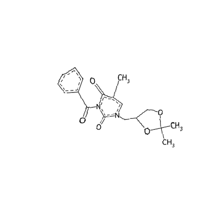 Cc1cn(CC2COC(C)(C)O2)c(=O)n(C(=O)c2ccccc2)c1=O